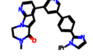 CC(C)n1ccnc1-c1ccc(-c2cncc(-c3ccnc4c3cc3n4CCN(C)C3=O)c2)cc1